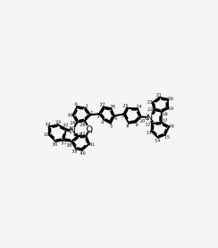 c1cc(-c2ccc(-c3ccc(-n4c5ccccc5c5ccccc54)cc3)cc2)c2c(c1)-n1c3ccccc3c3cccc(c31)O2